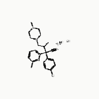 Cc1cccc(C(C#N)(c2ccc(Cl)cc2)C(C)CN2CCN(C)CC2)n1.Cl.Cl.O